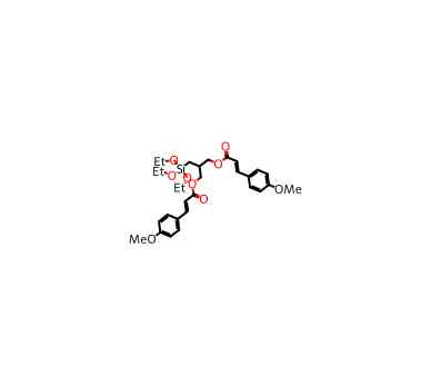 CCO[Si](CC(COC(=O)C=Cc1ccc(OC)cc1)COC(=O)C=Cc1ccc(OC)cc1)(OCC)OCC